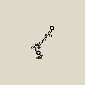 CCCCOc1ccc(C[C@H](NC(=O)COCCOCCNC(=O)OCc2ccccc2)C(=O)OC)cc1